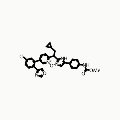 COC(=O)Nc1ccc(-c2cnc(C(CC3CC3)c3ccc(-c4cc(Cl)ccc4-c4cocn4)c[n+]3[O-])[nH]2)cc1